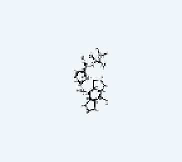 CN(C)S(=O)(=O)NC(=O)c1coc(Nc2c3c(c(F)c4c2CCC4)CCC3)n1